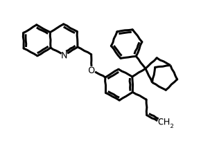 C=CCc1ccc(OCc2ccc3ccccc3n2)cc1C1(c2ccccc2)CC2CCC1C2